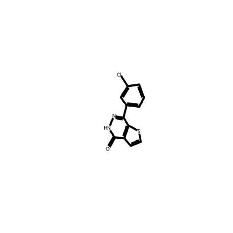 O=c1[nH]nc(-c2cccc(Cl)c2)c2sccc12